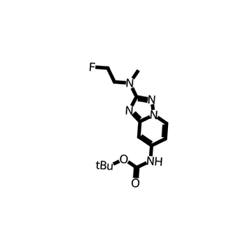 CN(CCF)c1nc2cc(NC(=O)OC(C)(C)C)ccn2n1